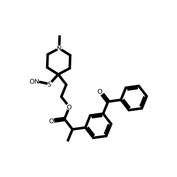 CC(C(=O)OCCC1(SN=O)CCN(C)CC1)c1cccc(C(=O)c2ccccc2)c1